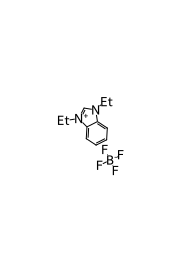 CCn1c[n+](CC)c2ccccc21.F[B-](F)(F)F